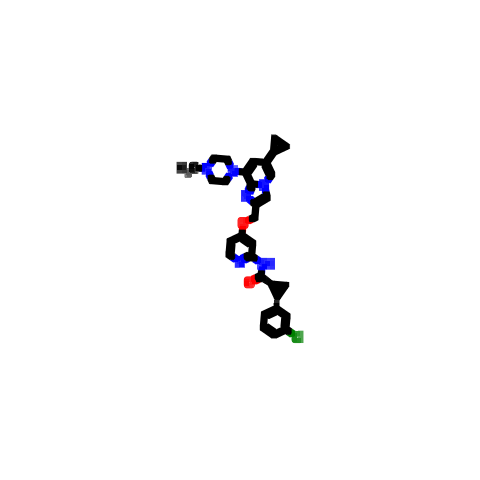 CN1CCN(c2cc(C3CC3)cn3cc(COc4ccnc(NC(=O)[C@H]5C[C@@H]5c5cccc(Cl)c5)c4)nc23)CC1